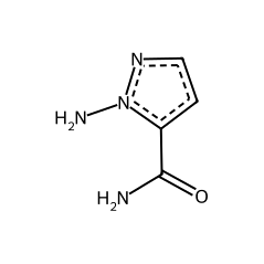 NC(=O)c1ccnn1N